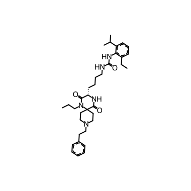 CCCN1C(=O)[C@H](CCCCNC(=O)Nc2c(CC)cccc2C(C)C)NC(=O)C12CCN(CCc1ccccc1)CC2